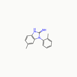 Cc1ccc2[nH]c(=N)n(-c3ccccc3C)c2c1